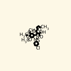 COc1cc(C2C(C(=O)c3ccc(C)o3)=C(O)C(=O)N2c2nc3ccc(Cl)cc3s2)cc(OC)c1OC